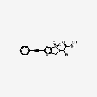 CCC(C(=O)NO)N1Cc2sc(C#Cc3ccccc3)cc2S1(=O)=O